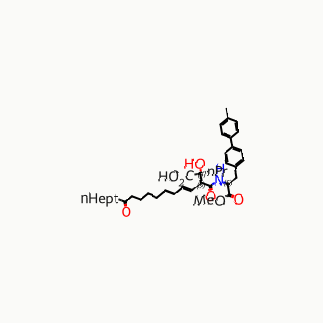 CCCCCCCC(=O)CCCCCCC=C[C@H](C(=O)N[C@@H](Cc1ccc(-c2ccc(C)cc2)cc1)C(=O)OC)[C@@](O)(CCC)C(=O)O